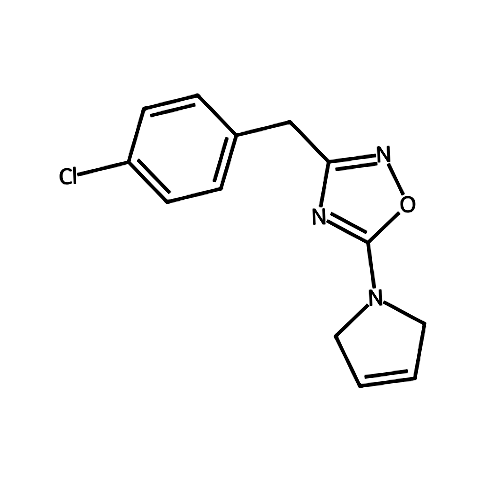 Clc1ccc(Cc2noc(N3CC=CC3)n2)cc1